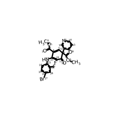 COC(=O)C1=CC(C(=O)OC)(c2cccnc2)C(=O)C(F)=C1Nc1ccc(Br)cc1F